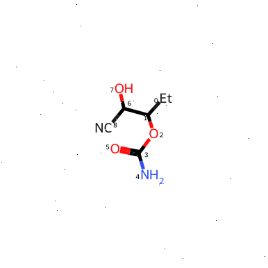 CCC(OC(N)=O)C(O)C#N